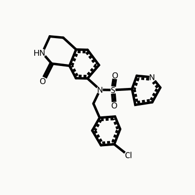 O=C1NCCc2ccc(N(Cc3ccc(Cl)cc3)S(=O)(=O)c3cccnc3)cc21